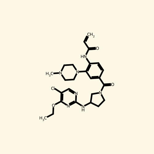 C=CC(=O)Nc1ccc(C(=O)N2CCC(Nc3ncc(Cl)c(OCC)n3)C2)cc1N1CCN(C)CC1